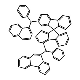 c1ccc(N(c2ccc3c(c2)C2(c4ccccc4-3)c3ccccc3-c3c(N(c4ccccc4)c4cc5ccccc5c5ccccc45)cccc32)c2cccc3ccccc23)cc1